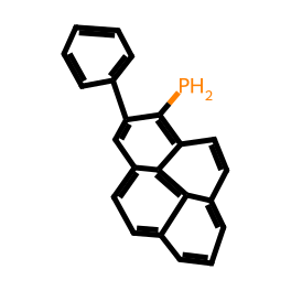 Pc1c(-c2ccccc2)cc2ccc3cccc4ccc1c2c34